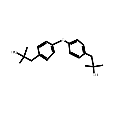 CC(C)(O)Cc1ccc(Oc2ccc(CC(C)(C)O)cc2)cc1